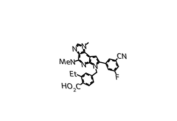 CCc1cc(Cn2c(-c3cc(F)cc(C#N)c3)cc3c4c(ncn4C)c(NC)nc32)ccc1C(=O)O